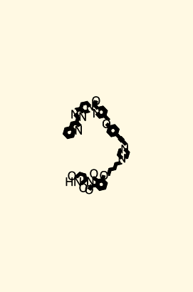 O=C1CCC(N2C(=O)c3cccc(OCCCCCN4CCN(CC#Cc5ccc(OCc6ccc(C(=O)N7CCc8cnc(-c9cnc%10ccccc%10c9)nc8C7)nc6)cc5)CC4)c3C2=O)C(=O)N1